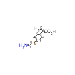 CC(C(=O)O)c1ccc(SCCN)cc1